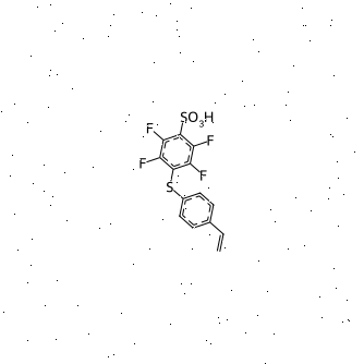 C=Cc1ccc(Sc2c(F)c(F)c(S(=O)(=O)O)c(F)c2F)cc1